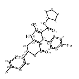 CCC1=C(C(=O)OC2CCCC2)C(c2ccc(F)cc2)C2=C(CC(c3ccc(C)cc3)CC2=O)N1